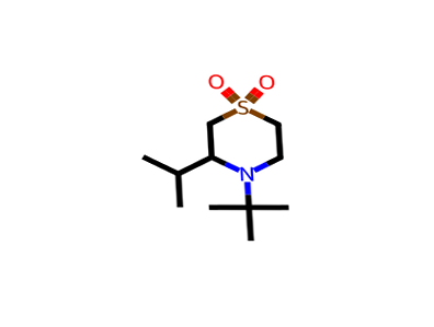 CC(C)C1CS(=O)(=O)CCN1C(C)(C)C